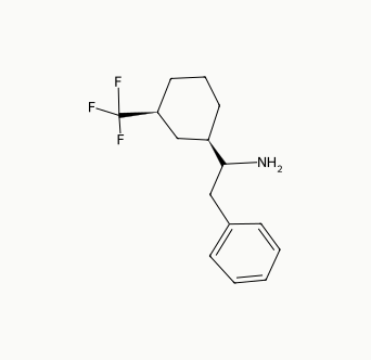 NC(Cc1ccccc1)[C@@H]1CCC[C@H](C(F)(F)F)C1